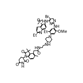 CCc1ccc2c(P(C)(C)=O)c(Nc3nc(Nc4cc(CC)c(N5CCC(NCCNC(=O)Cc6c(C)ccc7c6C(C)(C)C(=O)N7C6CCC(=O)NC6=O)CC5)cc4OC)ncc3Br)ccc2n1